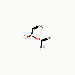 BC=C.C=CB(O)O